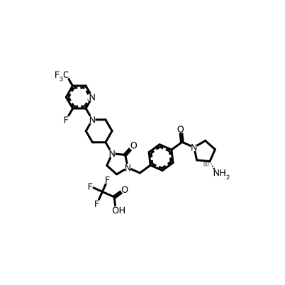 N[C@H]1CCN(C(=O)c2ccc(CN3CCN(C4CCN(c5ncc(C(F)(F)F)cc5F)CC4)C3=O)cc2)C1.O=C(O)C(F)(F)F